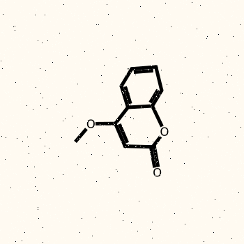 COc1cc(=O)oc2cc[c]cc12